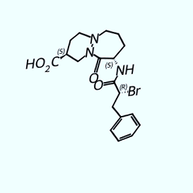 O=C(O)[C@H]1CCN2CCC[C@H](NC(=O)[C@H](Br)Cc3ccccc3)C(=O)N2C1